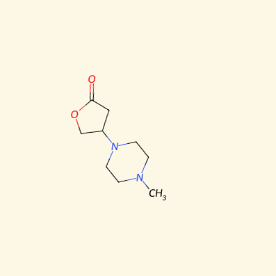 CN1CCN(C2COC(=O)C2)CC1